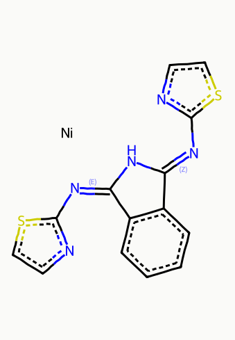 [Ni].c1ccc2c(c1)/C(=N/c1nccs1)N/C2=N/c1nccs1